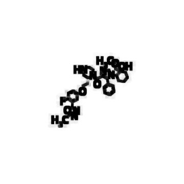 COC[C@]1(O)CCCC[C@H]1n1cnc(C(=O)N2CCNC[C@H]2CCOc2ccc(F)c(-c3nnc(C)o3)c2)c1-c1ccccc1